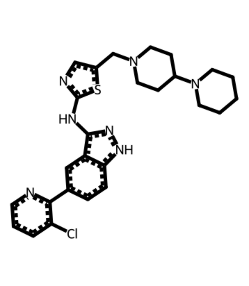 Clc1cccnc1-c1ccc2[nH]nc(Nc3ncc(CN4CCC(N5CCCCC5)CC4)s3)c2c1